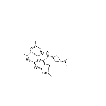 Cc1cncc(C(C)Nc2nc(C(=O)N3CC(N(C)C)C3)c3sc(C)cc3n2)c1